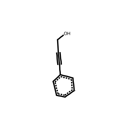 OCC#Cc1c[c]ccc1